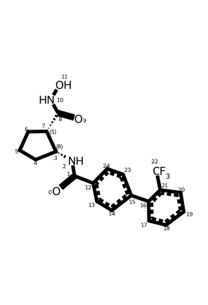 O=C(N[C@@H]1CCC[C@@H]1C(=O)NO)c1ccc(-c2ccccc2C(F)(F)F)cc1